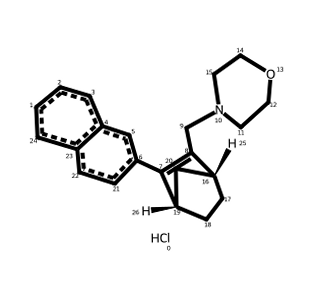 Cl.c1ccc2cc(C3=C(CN4CCOCC4)[C@@H]4CC[C@H]3C4)ccc2c1